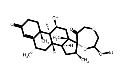 CCOC1COCC(=O)[C@@]2(O1)[C@@H](C)C[C@H]1[C@@H]3C[C@H](C)C4=CC(=O)CC[C@]4(C)[C@H]3[C@@H](O)C[C@@]12C